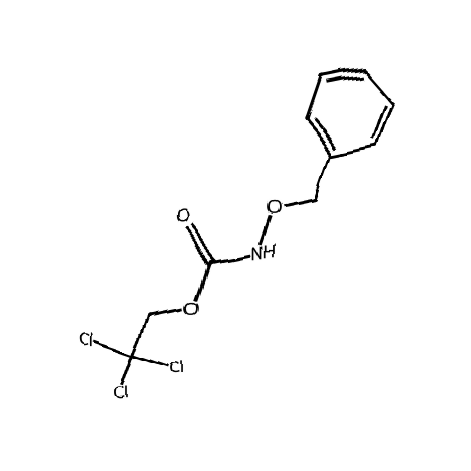 O=C(NOCc1ccccc1)OCC(Cl)(Cl)Cl